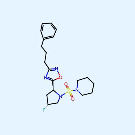 O=S(=O)(N1CCCCC1)N1C[C@H](F)C[C@H]1c1nc(CCCc2ccccc2)no1